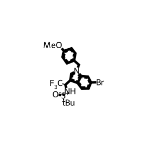 COc1ccc(Cn2cc([C@H](N[S@@+]([O-])C(C)(C)C)C(F)(F)F)c3ccc(Br)cc32)cc1